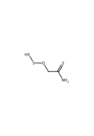 NC(=S)COSS